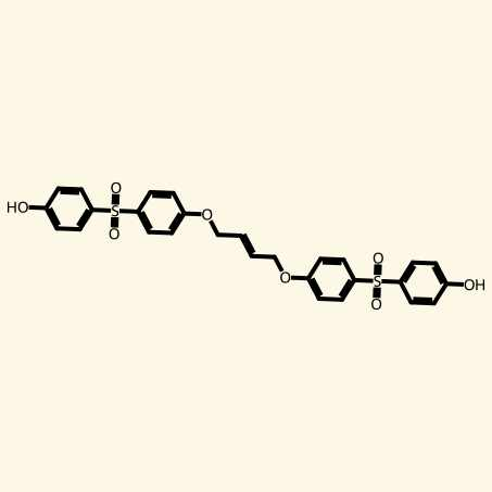 O=S(=O)(c1ccc(O)cc1)c1ccc(OCC=CCOc2ccc(S(=O)(=O)c3ccc(O)cc3)cc2)cc1